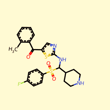 Cc1ccccc1C(=O)c1cnc(NC(C2CCNCC2)S(=O)(=O)c2ccc(F)cc2)s1